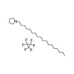 CCCCCCCCCCCCCCCCCCN1CCCC1.FC1(F)C(F)(F)C1(F)F